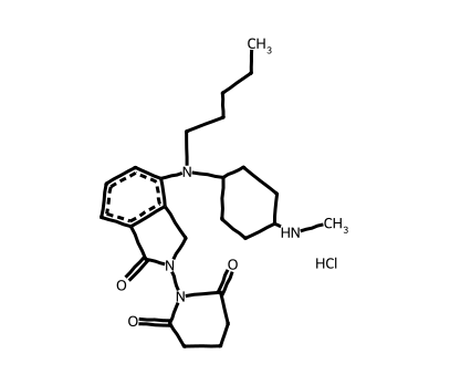 CCCCCN(c1cccc2c1CN(N1C(=O)CCCC1=O)C2=O)C1CCC(NC)CC1.Cl